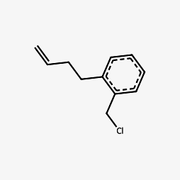 C=CCCc1ccccc1CCl